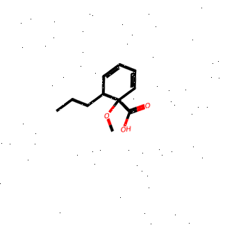 CCCC1C=CC=CC1(OC)C(=O)O